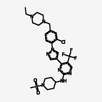 CCN1CCN(Cc2ccc(-n3cc(-c4nc(NC5CCN(S(C)(=O)=O)CC5)ncc4C(F)(F)F)cn3)c(Cl)c2)CC1